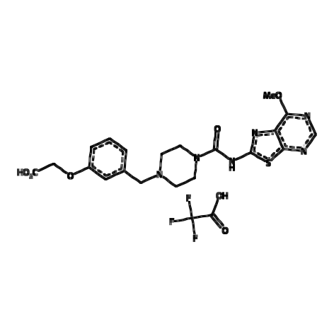 COc1ncnc2sc(NC(=O)N3CCN(Cc4cccc(OCC(=O)O)c4)CC3)nc12.O=C(O)C(F)(F)F